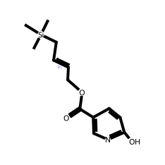 C[Si](C)(C)C/C=C/COC(=O)c1ccc(O)nc1